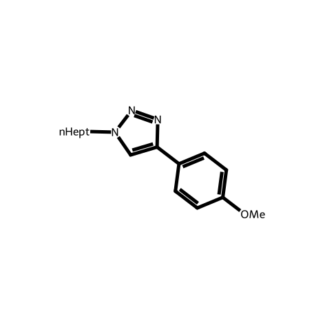 CCCCCCCn1cc(-c2ccc(OC)cc2)nn1